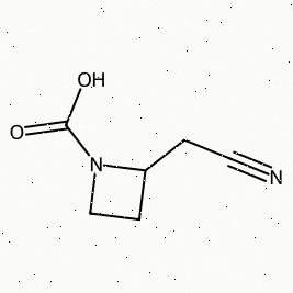 N#CCC1CCN1C(=O)O